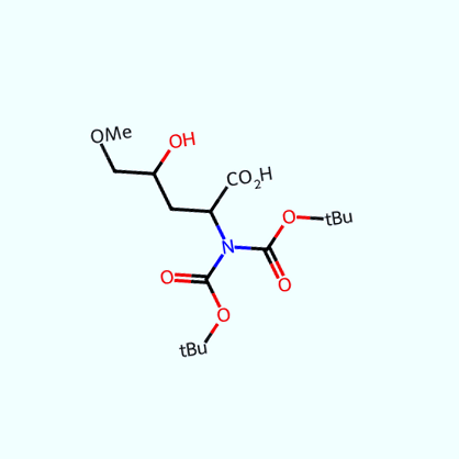 COCC(O)CC(C(=O)O)N(C(=O)OC(C)(C)C)C(=O)OC(C)(C)C